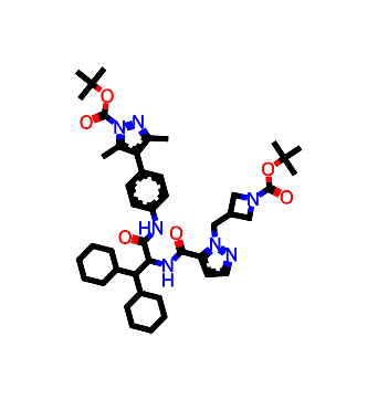 Cc1nn(C(=O)OC(C)(C)C)c(C)c1-c1ccc(NC(=O)C(NC(=O)c2ccnn2CC2CN(C(=O)OC(C)(C)C)C2)C(C2CCCCC2)C2CCCCC2)cc1